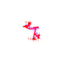 CC[C@@]1(O)C(=O)OCc2c1cc1n(c2=O)Cc2c-1nc1cc3c(c4c1c2[C@@H](NC(=O)C(C)(C)COCNC(=O)CNC(=O)[C@H](Cc1ccccc1)NC(=O)CNC(=O)CNC(=O)[C@H](CCC(=O)NC[C@@H]1O[C@H](CO)[C@@H](O)[C@H](O)[C@H]1O)NC(=O)OCC1c2ccccc2-c2ccccc21)CC4)OCO3